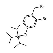 CC(C)[Si](Oc1ccc(CBr)c(Br)c1)(C(C)C)C(C)C